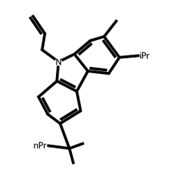 C=CCn1c2ccc(C(C)(C)CCC)cc2c2cc(C(C)C)c(C)cc21